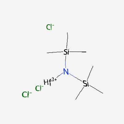 C[Si](C)(C)[N]([Hf+3])[Si](C)(C)C.[Cl-].[Cl-].[Cl-]